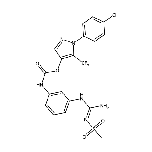 CS(=O)(=O)N=C(N)Nc1cccc(NC(=O)Oc2cnn(-c3ccc(Cl)cc3)c2C(F)(F)F)c1